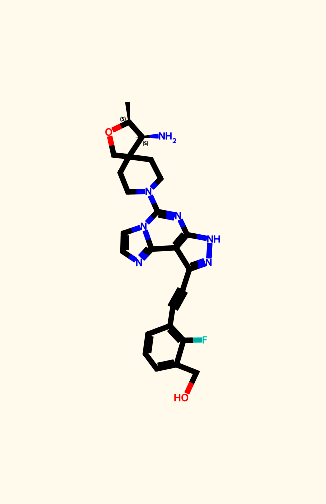 C[C@@H]1OCC2(CCN(c3nc4[nH]nc(C#Cc5cccc(CO)c5F)c4c4nccn34)CC2)[C@@H]1N